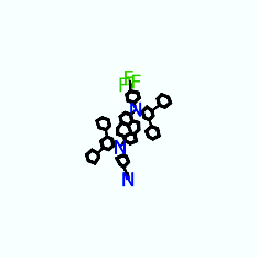 N#Cc1ccc(N(c2cc(-c3ccccc3)cc(-c3ccccc3)c2)c2ccc3ccc4c(N(c5ccc(C(F)(F)F)cc5)c5cc(-c6ccccc6)cc(-c6ccccc6)c5)ccc5ccc2c3c54)cc1